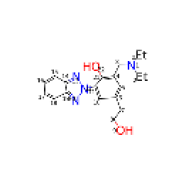 CCN(CC)Cc1cc(CCO)cc(-n2nc3ccccc3n2)c1O